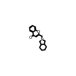 O=c1cc(CN2CC3CCCCC3C2)oc2ccccc12